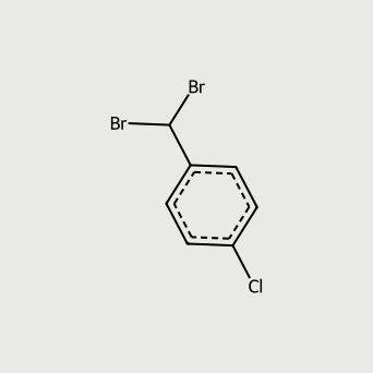 Clc1ccc(C(Br)Br)cc1